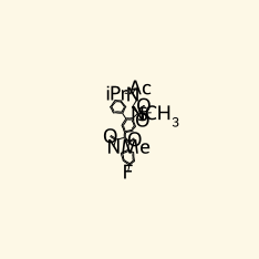 CNC(=O)c1c(-c2ccc(F)cc2)oc2cc(N(CCN(C(C)=O)C(C)C)S(C)(=O)=O)c(-c3ccccc3)cc12